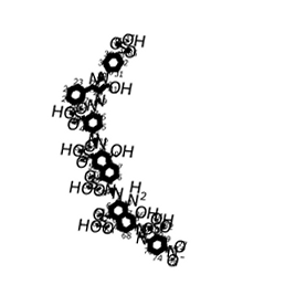 Nc1c(N=Nc2ccc3c(O)c(N=Nc4ccc(N=Nc5c(-c6ccccc6)nn(-c6ccc(S(=O)(=O)O)cc6)c5O)c(S(=O)(=O)O)c4)c(S(=O)(=O)O)cc3c2S(=O)(=O)O)cc(S(=O)(=O)O)c2ccc(N=Nc3ccc([N+](=O)[O-])cc3S(=O)(=O)O)c(O)c12